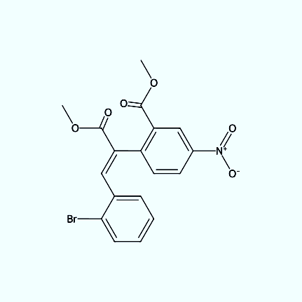 COC(=O)/C(=C/c1ccccc1Br)c1ccc([N+](=O)[O-])cc1C(=O)OC